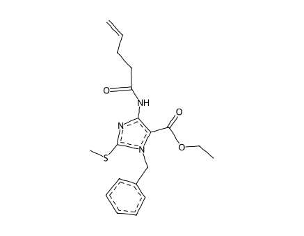 C=CCCC(=O)Nc1nc(SC)n(Cc2ccccc2)c1C(=O)OCC